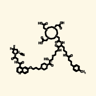 Cc1ccc(CCCC(=O)NCCCC(NC(=O)CN2CCN(CC(=O)O)CCN(CC(=O)O)CCN(CC(=O)O)CC2)C(=O)NCCSC[C@@H](O)C(=O)N2CCN(CCCOc3ccc4nccc(C(=O)NCC(=O)N5CC(F)(F)C[C@@H]5C#N)c4c3)CC2)cc1